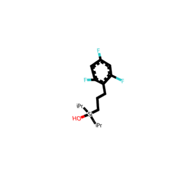 CC(C)[Si](O)(CCCc1c(F)cc(F)cc1F)C(C)C